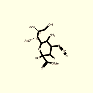 COC(=O)C1(O)OC([C@H](OC(C)=O)[C@@H](CO)OC(C)=O)C(N)C(N=[N+]=[N-])C1F